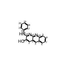 Oc1cc2cc3ccccc3nc2nc1Nc1ccccc1